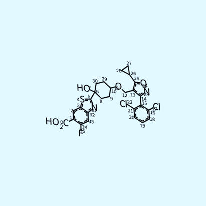 O=C(O)c1cc2sc(C3(O)CCC(OCc4c(-c5c(Cl)cccc5Cl)noc4C4CC4)CC3)nc2cc1F